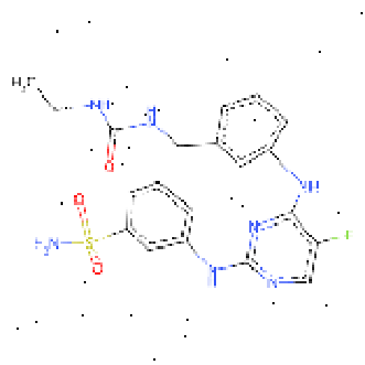 CCNC(=O)NCc1cccc(Nc2nc(Nc3cccc(S(N)(=O)=O)c3)ncc2F)c1